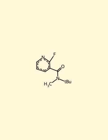 CN(C(=O)c1cccnc1F)C(C)(C)C